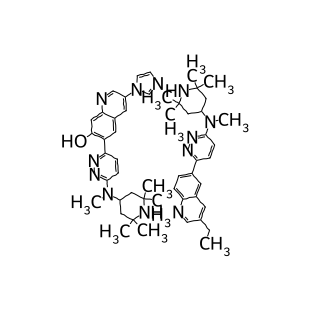 CCc1cnc2ccc(-c3ccc(N(C)C4CC(C)(C)NC(C)(C)C4)nn3)cc2c1.CN(c1ccc(-c2cc3cc(-n4ccnc4)cnc3cc2O)nn1)C1CC(C)(C)NC(C)(C)C1